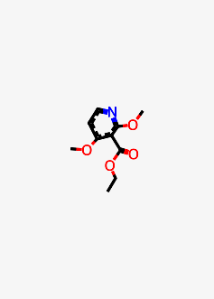 CCOC(=O)c1c(OC)ccnc1OC